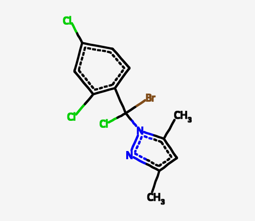 Cc1cc(C)n(C(Cl)(Br)c2ccc(Cl)cc2Cl)n1